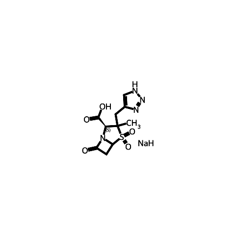 CC1(Cc2c[nH]nn2)[C@H](C(=O)O)N2C(=O)CC2S1(=O)=O.[NaH]